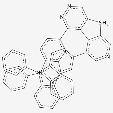 c1ccc(-n2c3ccccc3c3cc(-c4cncc5c4-c4c(cnnc4-c4ccc6c(c4)c4ccccc4n6-c4ccccc4)[SiH2]5)ccc32)cc1